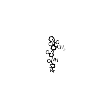 Cc1cc(N2CC(NC(=O)c3ccc(Br)s3)CC2=O)ccc1C(=O)N1CCCCC1C